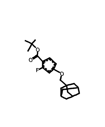 CC(C)(C)OC(=O)c1ccc(OCC23CC4CC(CC(C4)C2)C3)cc1F